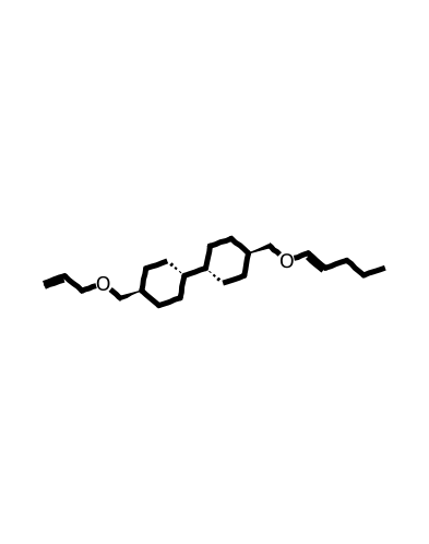 C=CCOC[C@H]1CC[C@H]([C@H]2CC[C@H](COC=CCCC)CC2)CC1